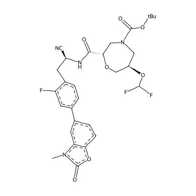 Cn1c(=O)oc2ccc(-c3ccc(C[C@@H](C#N)NC(=O)[C@@H]4CN(C(=O)OC(C)(C)C)C[C@@H](OC(F)F)CO4)c(F)c3)cc21